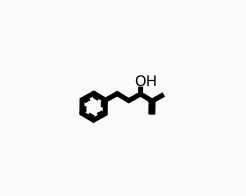 C=C(C)C(O)CCc1ccccc1